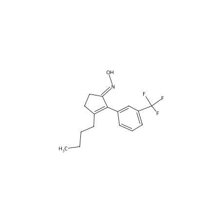 CCCCC1=C(c2cccc(C(F)(F)F)c2)/C(=N/O)CC1